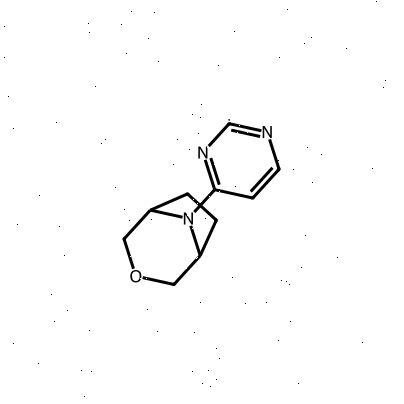 [c]1nccc(N2C3CCC2COC3)n1